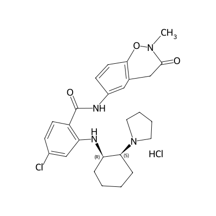 CN1Oc2ccc(NC(=O)c3ccc(Cl)cc3N[C@@H]3CCCC[C@@H]3N3CCCC3)cc2CC1=O.Cl